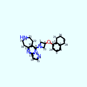 c1cc2c(c(OC3CN(c4c5c(nc6ccnn46)CCNCC5)C3)c1)CCCC2